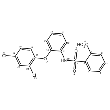 O=C(O)c1ccccc1S(=O)(=O)Nc1ccccc1Oc1ccc(Cl)cc1Cl